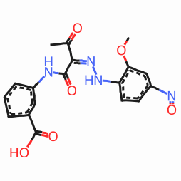 COc1cc(N=O)ccc1N/N=C(/C(C)=O)C(=O)Nc1cccc(C(=O)O)c1